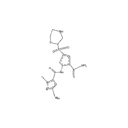 Cn1nc(C(C)(C)C)cc1C(=O)Nc1sc(S(=O)(=O)C2CNCCO2)cc1C(N)=O